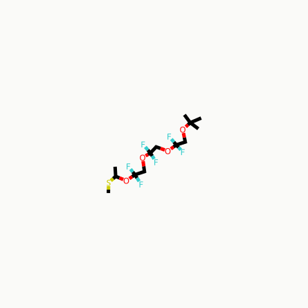 CSC(C)OC(F)(F)COC(F)(F)COC(F)(F)COC(C)(C)C